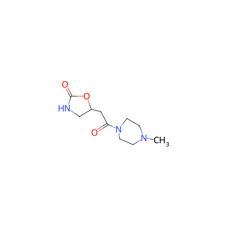 CN1CCN(C(=O)CC2CNC(=O)O2)CC1